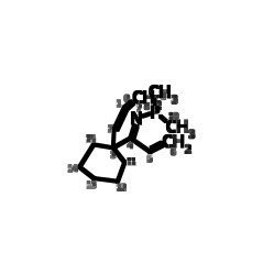 C=C=CC1(/C(C=C)=N/P(C)C)CCCCC1